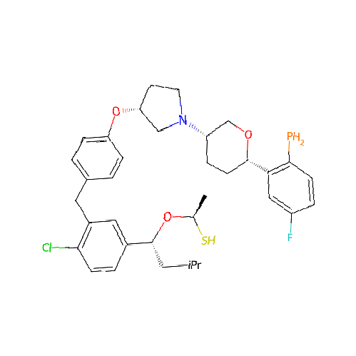 CC(C)C[C@@H](O[C@@H](C)S)c1ccc(Cl)c(Cc2ccc(O[C@@H]3CCN([C@H]4CC[C@@H](c5cc(F)ccc5P)OC4)C3)cc2)c1